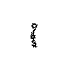 Cc1ccn2cc(-c3ccc(OCCCN4CCCCCC4)cc3)nc2c1